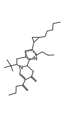 C=C(CCC)C1=CN2C(CC1=C)c1nc(CCC)c(C3CC3CCCCC)cc1CC2C(C)(C)C